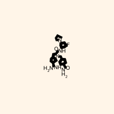 N=C(N)c1ccc2cc(C(=O)Nc3cc(F)cc(N4CCCC4)c3)n(Cc3ccc(C(N)=O)cc3)c2c1